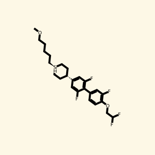 COCCCCC[Si@H]1CC[C@H](c2cc(F)c(-c3ccc(OCC(F)F)c(F)c3)c(F)c2)CC1